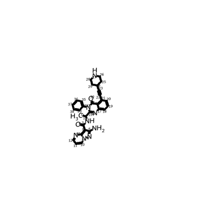 CC(NC(=O)c1c(N)nn2cccnc12)c1nc2cccc(C#CC3CCNCC3)c2c(=O)n1-c1ccccc1